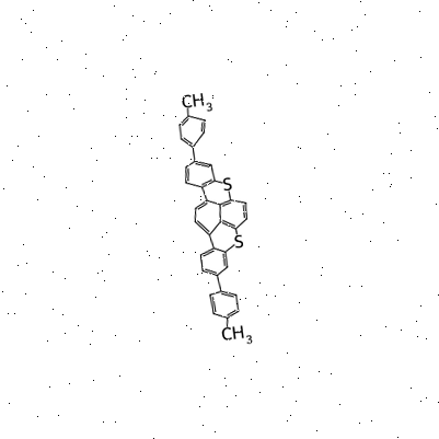 Cc1ccc(-c2ccc3c(c2)Sc2ccc4c5c(ccc-3c25)-c2ccc(-c3ccc(C)cc3)cc2S4)cc1